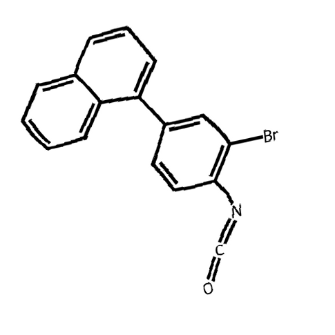 O=C=Nc1ccc(-c2cccc3ccccc23)cc1Br